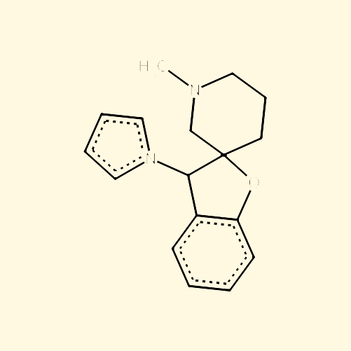 CN1CCCC2(C1)Oc1ccccc1C2n1cccc1